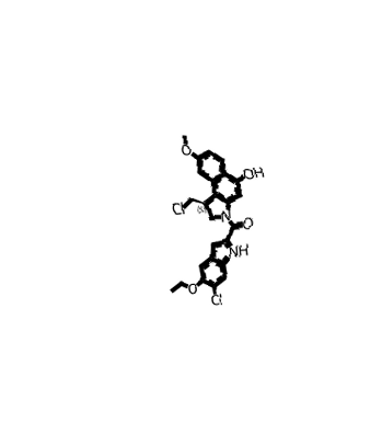 CCOc1cc2cc(C(=O)N3C[C@@H](CCl)c4c3cc(O)c3ccc(OC)cc43)[nH]c2cc1Cl